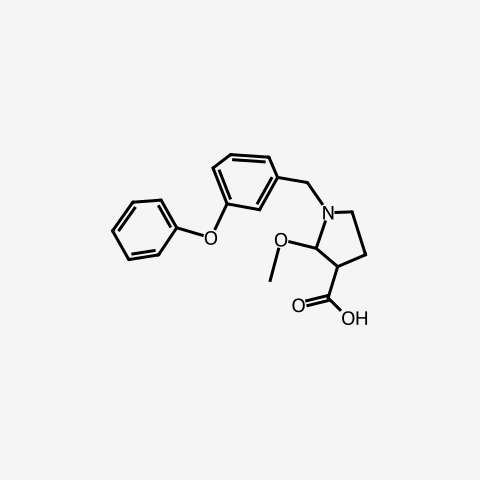 COC1C(C(=O)O)CCN1Cc1cccc(Oc2ccccc2)c1